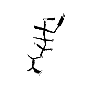 COC(C)(CC#N)C(F)(F)C(F)(F)OC(F)=C(F)F